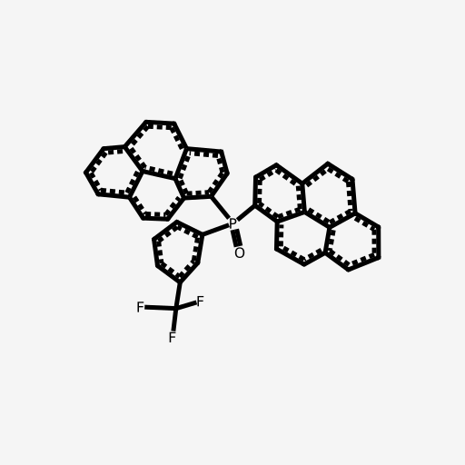 O=P(c1cccc(C(F)(F)F)c1)(c1ccc2ccc3cccc4ccc1c2c34)c1ccc2ccc3cccc4ccc1c2c34